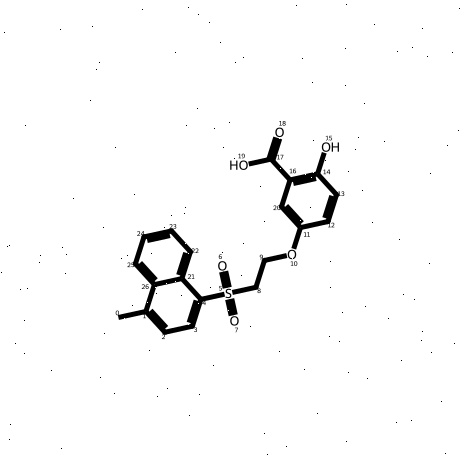 Cc1ccc(S(=O)(=O)CCOc2ccc(O)c(C(=O)O)c2)c2ccccc12